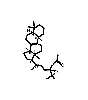 CC(=O)OC1(CC[C@@H](C)[C@H]2CC[C@@]3(C)C4=C(CC[C@]23C)[C@@]2(C)CCCC(C)(C)[C@@H]2CC4)OC1(C)C